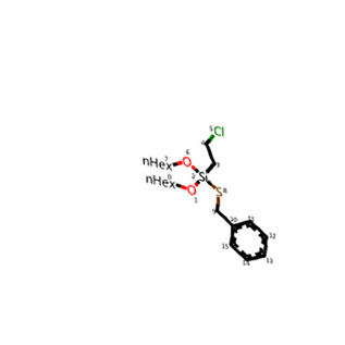 CCCCCCO[Si](CCCl)(OCCCCCC)SCc1ccccc1